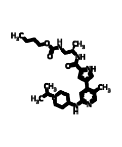 CCCCOC(=O)NC[C@H](C)NC(=O)c1cc(-c2cc(NC3CCN(C(C)C)CC3)ncc2C)c[nH]1